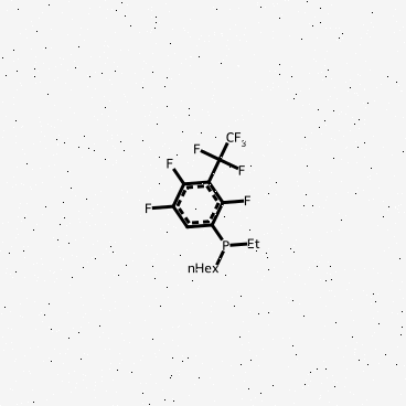 CCCCCCP(CC)c1cc(F)c(F)c(C(F)(F)C(F)(F)F)c1F